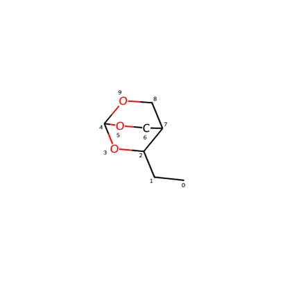 CCC1OC2OCC1CO2